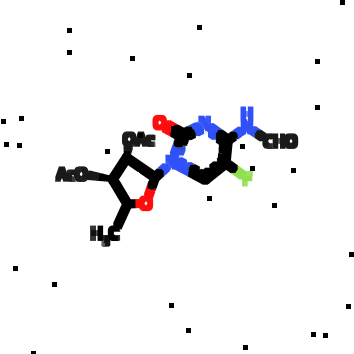 CC(=O)O[C@@H]1C(C)OC(n2cc(F)c(NC=O)nc2=O)[C@@H]1OC(C)=O